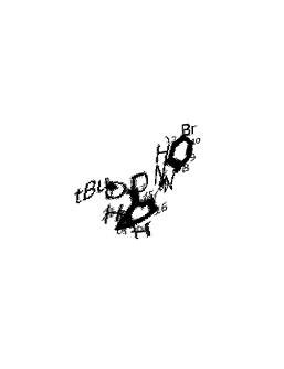 CC(C)(C)OC(=O)C1[C@H](c2nc3ccc(Br)cc3[nH]2)C[C@H]2C[C@@H]12